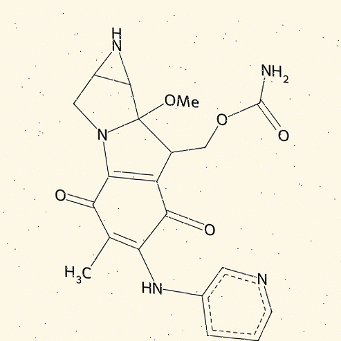 COC12C(COC(N)=O)C3=C(C(=O)C(C)=C(Nc4cccnc4)C3=O)N1CC1NC12